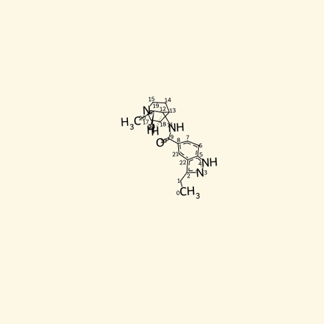 CCc1n[nH]c2ccc(C(=O)N[C@@H]3C4CCN(CC4)[C@H]3C)cc12